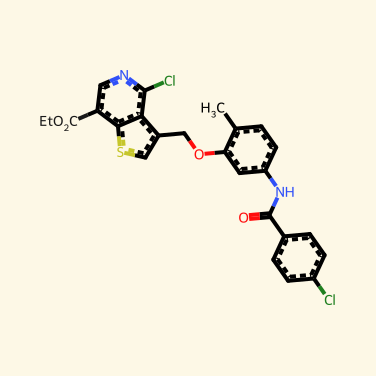 CCOC(=O)c1cnc(Cl)c2c(COc3cc(NC(=O)c4ccc(Cl)cc4)ccc3C)csc12